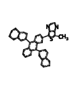 Cc1sc(-c2ccc3c(-c4ccc5ccccc5c4)c4ccccc4c(-c4ccc5ccccc5c4)c3c2)c2nccnc12